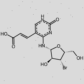 O=C(O)C=Cc1c[nH]c(=O)nc1N[C@@H]1O[C@H](CO)[C@H](Br)[C@H]1O